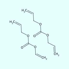 C=CCOC(=O)OC=C.C=CCOC(=O)OCC=C